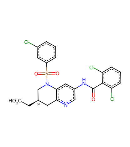 O=C(O)C[C@@H]1Cc2ncc(NC(=O)c3c(Cl)cccc3Cl)cc2N(S(=O)(=O)c2cccc(Cl)c2)C1